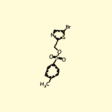 Cc1ccc(S(=O)(=O)OCc2ncc(Br)s2)cc1